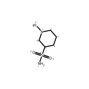 CC(C)N1CCCC(S(N)(=O)=O)C1